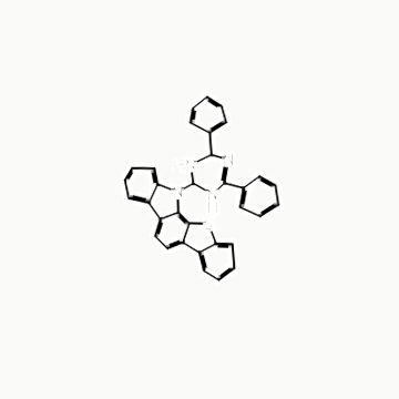 c1ccc(C2=NC(c3ccccc3)NC(n3c4ccccc4c4ccc5c6ccccc6sc5c43)N2)cc1